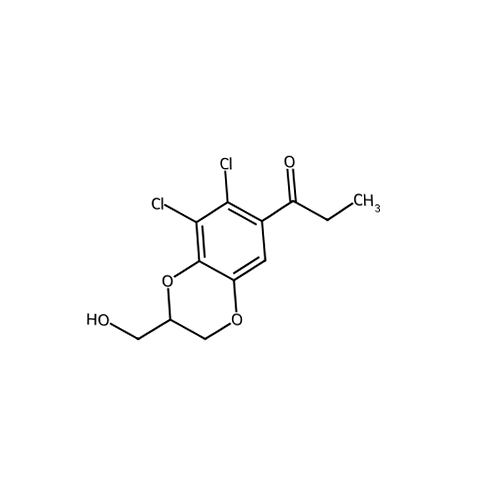 CCC(=O)c1cc2c(c(Cl)c1Cl)OC(CO)CO2